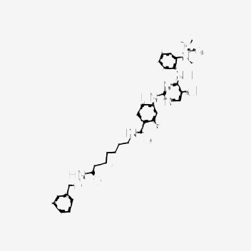 CN(c1ccccc1Nc1nc(Nc2ccc(C(=O)NCCCCCCC(=O)NOCc3ccccc3)c(F)c2)ncc1Cl)S(C)(=O)=O